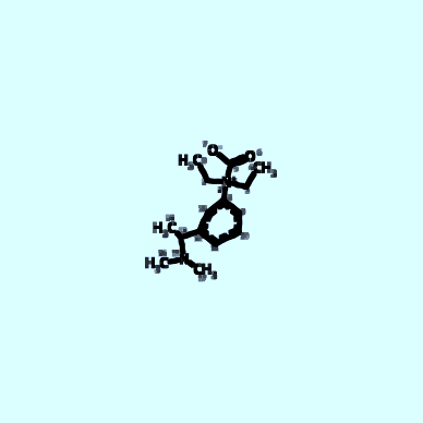 CC[N+](CC)(C(=O)[O-])c1cccc(C(C)N(C)C)c1